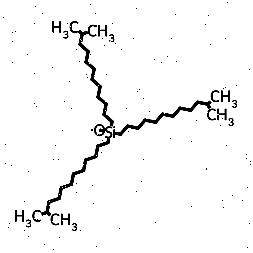 CC(C)CCCCCCCCCC[Si]([O])(CCCCCCCCCCC(C)C)CCCCCCCCCCC(C)C